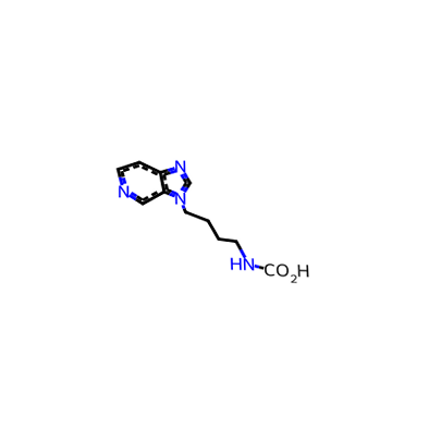 O=C(O)NCCCCn1cnc2ccncc21